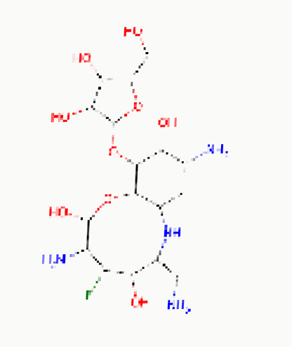 NCC1NC2CC(N)C(O)C(OC3OC(CO)C(O)C3O)C2OC(O)C(N)C(F)C1O